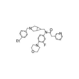 CCc1ccc(CN2CC3C(C2)C3CN(C(=O)Cc2cccnc2)c2ccc(N3CCOCC3)c(F)c2)cc1